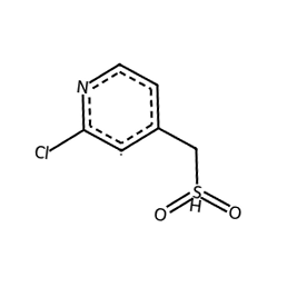 O=[SH](=O)Cc1[c]c(Cl)ncc1